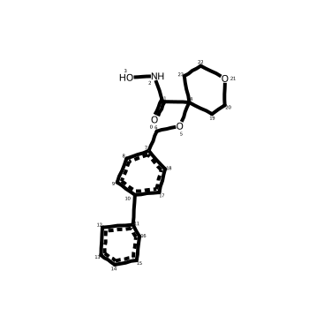 O=C(NO)C1(OCc2ccc(-c3ccccc3)cc2)CCOCC1